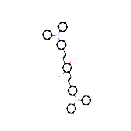 COc1cc(/C=C/c2ccc(N(c3ccccc3)c3ccccc3)cc2)c(O)cc1/C=C/c1ccc(N(c2ccccc2)c2ccccc2)cc1